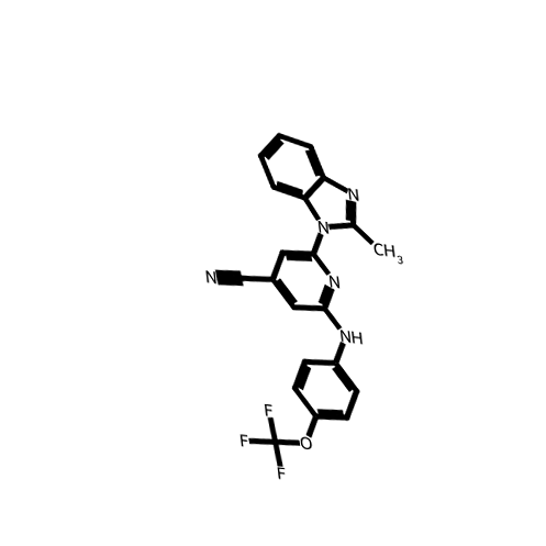 Cc1nc2ccccc2n1-c1cc(C#N)cc(Nc2ccc(OC(F)(F)F)cc2)n1